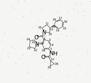 O=C(Nc1ccc(C(=O)N2CC[C@@H](c3ccccc3)C2)c(N2CCCC2)c1)C1CC1